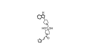 O=C(/C=C/c1ccsc1)N1CCC(O)(C(O)CN2CCC(c3c[nH]c4ccccc34)CC2)CC1